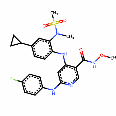 CONC(=O)c1cnc(Nc2ccc(F)cc2)cc1Nc1ccc(C2CC2)cc1N(C)S(C)(=O)=O